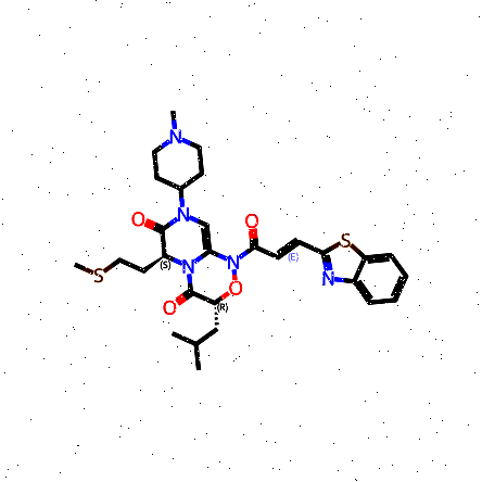 CSCC[C@H]1C(=O)N(C2CCN(C)CC2)C=C2N(C(=O)/C=C/c3nc4ccccc4s3)O[C@H](CC(C)C)C(=O)N21